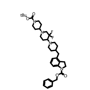 CC(C)(C)OC(=O)N1CCC(N2CCC(N3CCC(Cc4cccc5c4CCN5C(=O)OCc4ccccc4)CC3)C(F)(F)C2)CC1